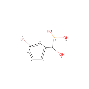 OC(c1cccc(Br)c1)P(O)O